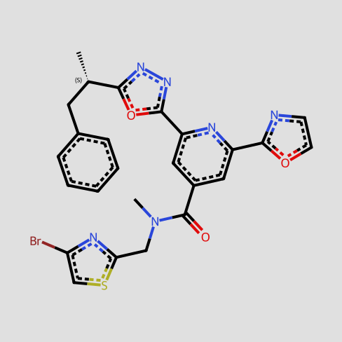 C[C@@H](Cc1ccccc1)c1nnc(-c2cc(C(=O)N(C)Cc3nc(Br)cs3)cc(-c3ncco3)n2)o1